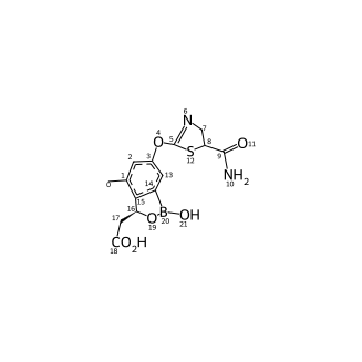 Cc1cc(OC2=NCC(C(N)=O)S2)cc2c1[C@H](CC(=O)O)OB2O